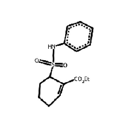 CCOC(=O)C1=CCCCC1S(=O)(=O)Nc1ccccc1